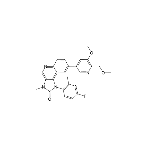 COCc1ncc(-c2ccc3ncc4c(c3c2)n(-c2ccc(F)nc2C)c(=O)n4C)cc1OC